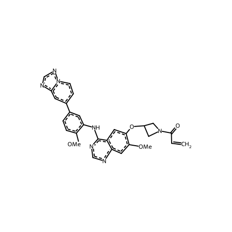 C=CC(=O)N1CC(Oc2cc3c(Nc4cc(-c5ccn6ncnc6c5)ccc4OC)ncnc3cc2OC)C1